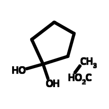 CC(=O)O.OC1(O)CCCC1